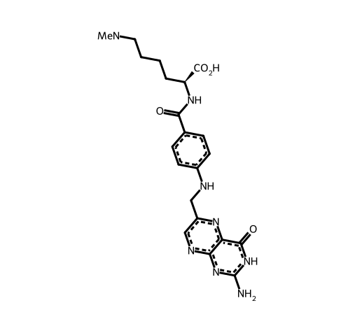 CNCCCC[C@H](NC(=O)c1ccc(NCc2cnc3nc(N)[nH]c(=O)c3n2)cc1)C(=O)O